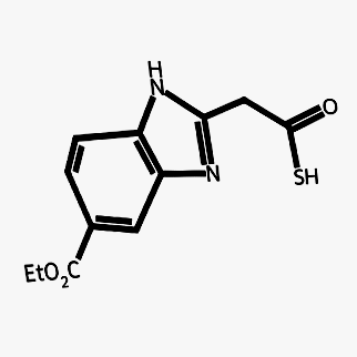 CCOC(=O)c1ccc2[nH]c(CC(=O)S)nc2c1